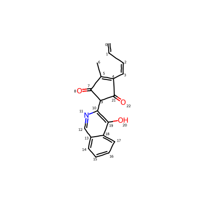 C=C/C=C\C1=C(C)C(=O)C(c2ncc3ccccc3c2O)C1=O